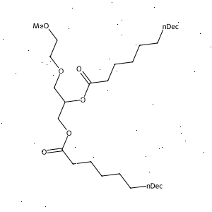 CCCCCCCCCCCCCCCC(=O)OCC(COCCOC)OC(=O)CCCCCCCCCCCCCCC